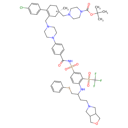 CC(C)(C)OC(=O)N1CCN(C[C@]2(C)CCC(c3ccc(Cl)cc3)=C(CN3CCN(c4ccc(C(=O)NS(=O)(=O)c5ccc(NC(CCN6CC7COCC7C6)CSc6ccccc6)c(S(=O)(=O)C(F)(F)F)c5)cc4)CC3)C2)CC1